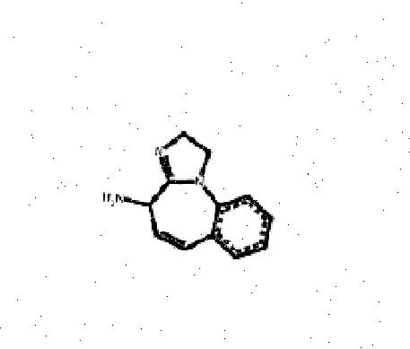 NC1C=Cc2ccccc2N2CCN=C12